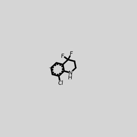 FC1(F)CCNc2c(Cl)c[c]cc21